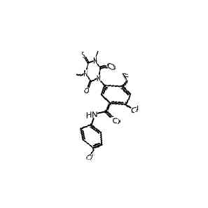 Cn1c(=S)n(C)c(=O)n(-c2cc(C(=O)Nc3ccc(Cl)cc3)c(Cl)cc2F)c1=O